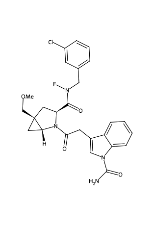 COC[C@@]12C[C@@H](C(=O)N(F)Cc3cccc(Cl)c3)N(C(=O)Cc3cn(C(N)=O)c4ccccc34)[C@@H]1C2